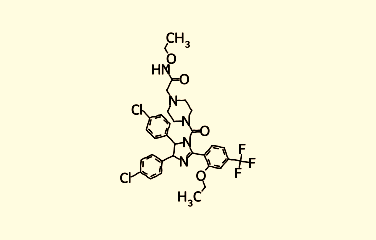 CCONC(=O)CN1CCN(C(=O)N2C(c3ccc(C(F)(F)F)cc3OCC)=NC(c3ccc(Cl)cc3)C2c2ccc(Cl)cc2)CC1